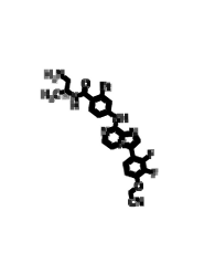 CCc1cc(Nc2nccn3c(-c4ccc(OCC#N)c(F)c4F)cnc23)ccc1C(=O)N[C@@H](C)CN